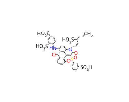 C=C/C=C(\C=C/Cn1c(=O)c(S(=O)(=O)c2cccc(S(=O)(=O)O)c2)c2c3c(c(Nc4ccc(C(=O)O)cc4S(=O)(=O)O)ccc31)C(=O)c1ccccc1-2)S(=O)(=O)O